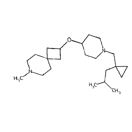 CC(C)CC1(CN2CCC(OC3CC4(CCN(C)CC4)C3)CC2)CC1